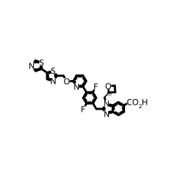 O=C(O)c1ccc2nc(Cc3cc(F)c(-c4cccc(OCc5ncc(-c6cncs6)s5)n4)cc3F)n(C[C@@H]3CCO3)c2c1